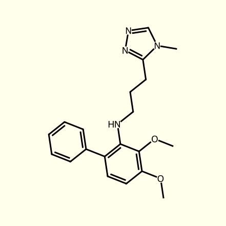 COc1ccc(-c2ccccc2)c(NCCCc2nncn2C)c1OC